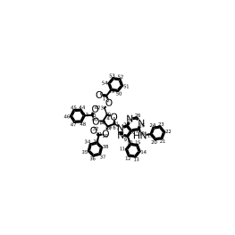 O=C(OC[C@H]1O[C@@H](n2nc(-c3ccccc3)c3c(Nc4ccccc4)ncnc32)[C@@H](OC(=O)c2ccccc2)[C@H]1OC(=O)c1ccccc1)c1ccccc1